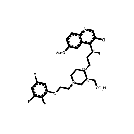 COc1ccc2ncc(Cl)c([C@@H](F)CC[C@@H]3CCN(CCSc4cc(F)cc(F)c4F)C[C@@H]3CC(=O)O)c2c1